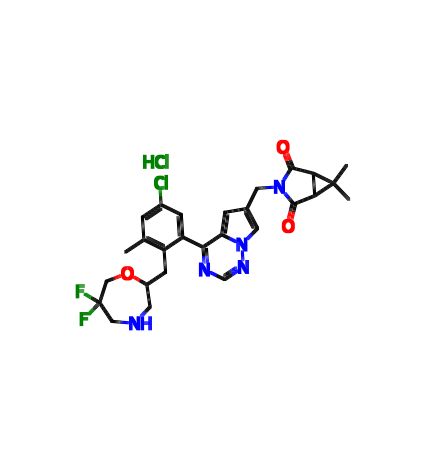 Cc1cc(Cl)cc(-c2ncnn3cc(CN4C(=O)C5C(C4=O)C5(C)C)cc23)c1CC1CNCC(F)(F)CO1.Cl